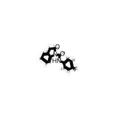 O=C1Cc2ccccc2N1C(=O)Nc1ccc(F)cc1